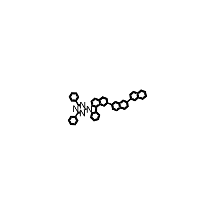 c1ccc(-c2nc(-c3ccccc3)nc(-n3c4ccccc4c4c5cc(-c6ccc7ccc(-c8ccc9ccccc9c8)cc7c6)ccc5ccc43)n2)cc1